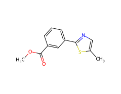 COC(=O)c1cccc(-c2ncc(C)s2)c1